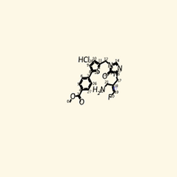 COC(=O)c1ccc(-c2ccc(Cn3cnn(C/C(=C/F)CN)c3=O)s2)cc1.Cl